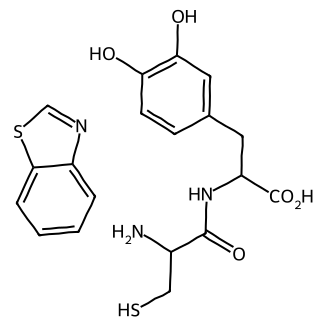 NC(CS)C(=O)NC(Cc1ccc(O)c(O)c1)C(=O)O.c1ccc2scnc2c1